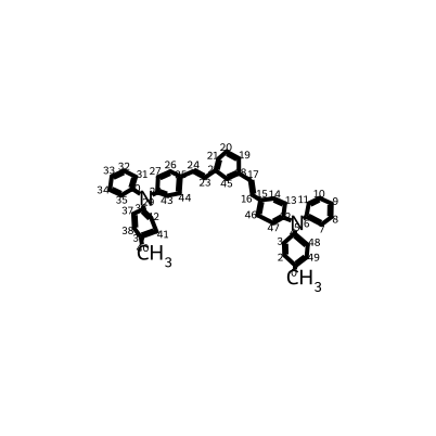 Cc1ccc(N(c2ccccc2)c2ccc(C=Cc3cccc(C=Cc4ccc(N(c5ccccc5)c5ccc(C)cc5)cc4)c3)cc2)cc1